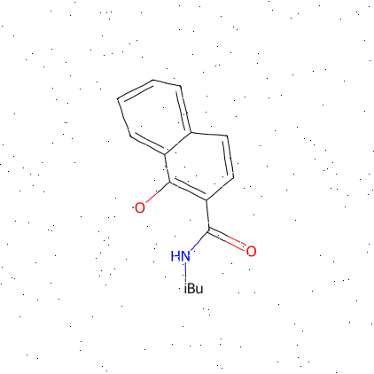 CCC(C)NC(=O)c1ccc2ccccc2c1[O]